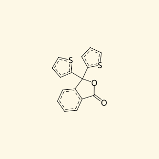 O=C1OC(c2cccs2)(c2cccs2)c2ccccc21